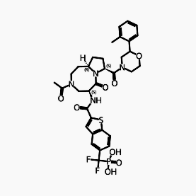 CC(=O)N1CC[C@H]2CC[C@@H](C(=O)N3CCOC(c4ccccc4C)C3)N2C(=O)[C@@H](NC(=O)c2cc3cc(C(F)(F)P(=O)(O)O)ccc3s2)C1